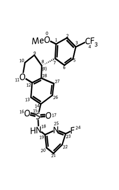 COc1cc(C(F)(F)F)ccc1[C@H]1CCOc2cc(S(=O)(=O)Nc3cccc(F)n3)ccc21